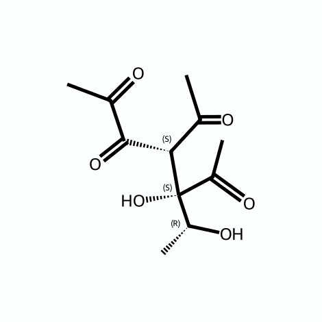 CC(=O)C(=O)[C@H](C(C)=O)[C@@](O)(C(C)=O)[C@@H](C)O